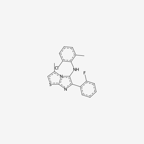 Cc1cccc(Cl)c1Nc1c(-c2ccccc2F)nc2scc(C)n12